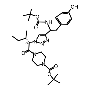 CCC(C)[C@@H](C(=O)N1CCN(C(=O)OC(C)(C)C)CC1)n1cc(C(Cc2ccc(O)cc2)NC(=O)OC(C)(C)C)nn1